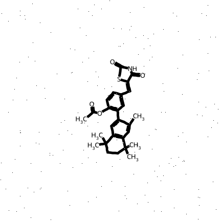 CC(=O)Oc1ccc(/C=C2\SC(=O)NC2=O)cc1-c1cc2c(cc1C)C(C)(C)CCC2(C)C